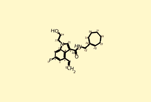 C=Cc1cc(F)cc2c1c(C(=O)NCC1CCCCCC1)cn2CCO